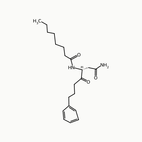 CCCCCCCC(=O)N[C@H](CC(N)=O)C(=O)CCCc1ccccc1